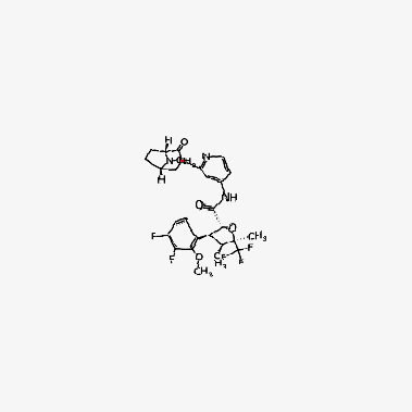 COc1c([C@H]2[C@H](C(=O)Nc3ccnc(N4C[C@@H]5CC[C@H](C4=O)N5C)c3)O[C@@](C)(C(F)(F)F)[C@H]2C)ccc(F)c1F